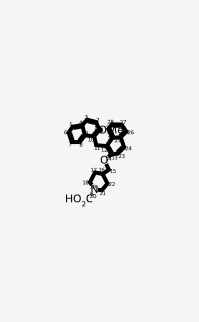 COc1ccc2ccccc2c1Cc1c(OCC2CCN(C(=O)O)CC2)ccc2ccccc12